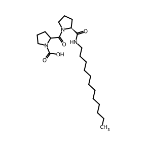 CCCCCCCCCCCCNC(=O)[C@@H]1CCCN1C(=O)C1CCCN1C(=O)O